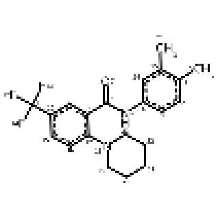 Cc1ccc(NC(=O)c2cc(C(F)(F)F)ccc2N2CCCCC2)cc1C